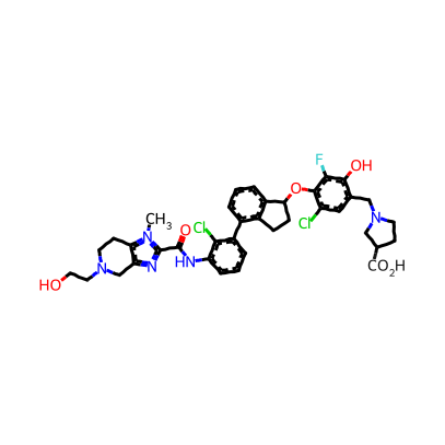 Cn1c(C(=O)Nc2cccc(-c3cccc4c3CCC4Oc3c(Cl)cc(CN4CCC(C(=O)O)C4)c(O)c3F)c2Cl)nc2c1CCN(CCO)C2